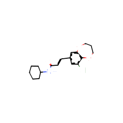 O=C(/C=C/c1cc(Cl)c2c(c1)OCCCO2)NC1CCCCC1